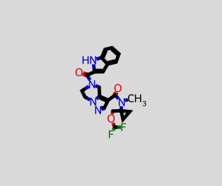 CN(C(=O)c1cnn2c1CN(C(=O)c1cc3ccccc3[nH]1)CC2)C1(COC(F)F)CC1